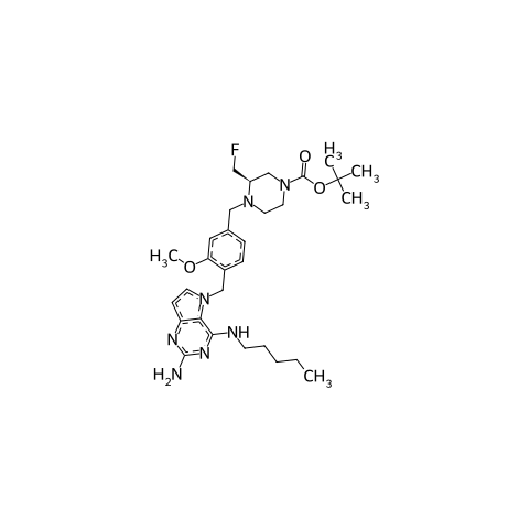 CCCCCNc1nc(N)nc2ccn(Cc3ccc(CN4CCN(C(=O)OC(C)(C)C)C[C@@H]4CF)cc3OC)c12